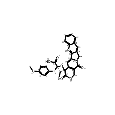 CC[C@@]1(OC(Oc2ccc(OC)cc2)C(=O)O)C(=O)OCc2c1cc1n(c2=O)Cc2cc3ccccc3nc2-1